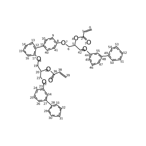 C=CC(=O)OC(COc1ccc(-c2ccccc2OCC(COc2cccc(-c3ccccc3)c2)OC(=O)C=C)cc1)COc1cccc(-c2ccccc2)c1